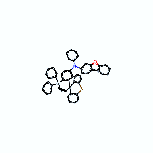 c1ccc(N(c2ccc3c(c2)C2(c4ccccc4Sc4ccccc42)c2ccccc2[Si]3(c2ccccc2)c2ccccc2)c2ccc3c(c2)oc2ccccc23)cc1